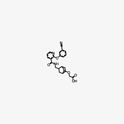 N#Cc1cccc(Oc2ncccc2C(=O)NCC2CC3CCC2CC3OCC(=O)O)c1